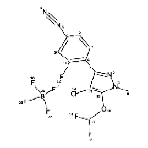 Cn1nc(-c2ccc([N+]#N)cc2F)c(Cl)c1OC(F)F.F[B-](F)(F)F